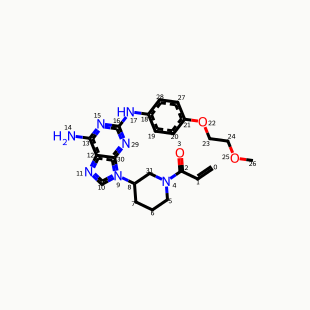 C=CC(=O)N1CCCC(n2cnc3c(N)nc(Nc4ccc(OCCOC)cc4)nc32)C1